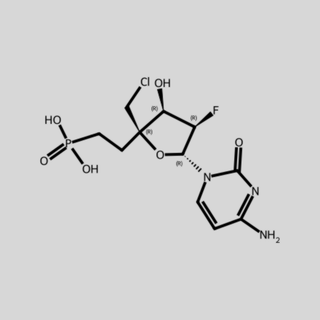 Nc1ccn([C@@H]2O[C@](CCl)(CCP(=O)(O)O)[C@@H](O)[C@H]2F)c(=O)n1